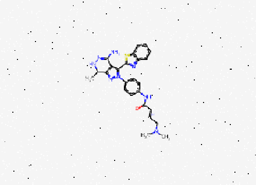 CC1NN=C(N)c2c1nn(-c1ccc(NC(=O)/C=C/CN(C)C)cc1)c2-c1nc2ccccc2s1